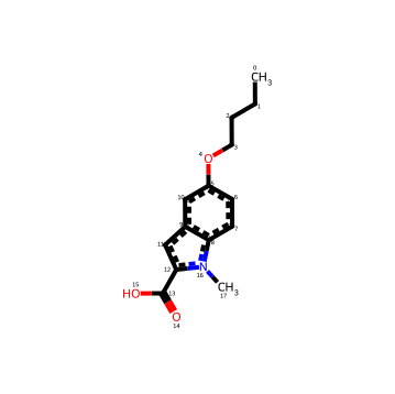 CCCCOc1ccc2c(c1)cc(C(=O)O)n2C